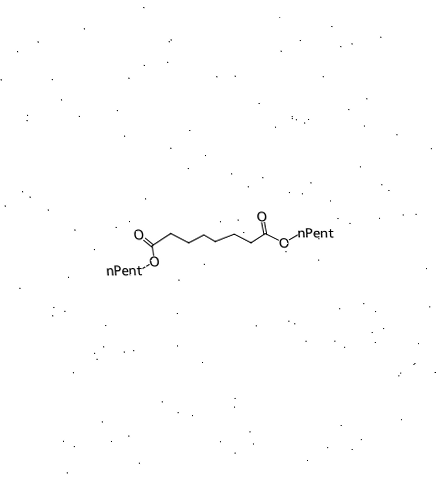 CCCCCOC(=O)CCCCCCC(=O)OCCCCC